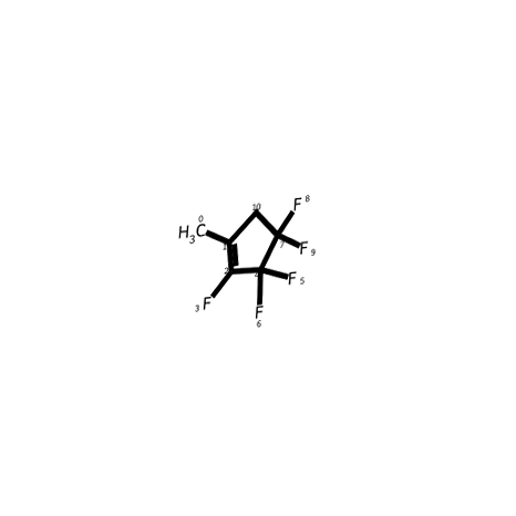 CC1=C(F)C(F)(F)C(F)(F)C1